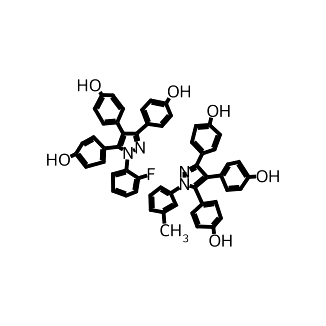 Cc1cccc(-n2nc(-c3ccc(O)cc3)c(-c3ccc(O)cc3)c2-c2ccc(O)cc2)c1.Oc1ccc(-c2nn(-c3ccccc3F)c(-c3ccc(O)cc3)c2-c2ccc(O)cc2)cc1